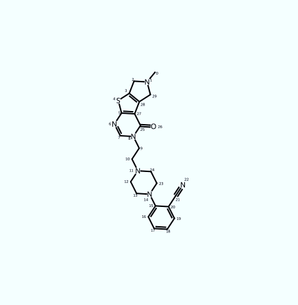 CN1Cc2sc3ncn(CCN4CCN(c5ccccc5C#N)CC4)c(=O)c3c2C1